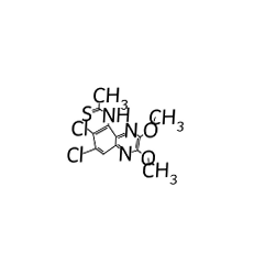 COc1nc2cc(Cl)c(Cl)c(NC(C)=S)c2nc1OC